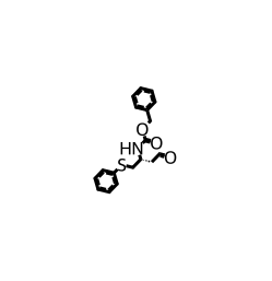 O=CC[C@H](CSc1ccccc1)NC(=O)OCc1ccccc1